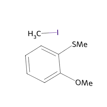 CI.COc1ccccc1SC